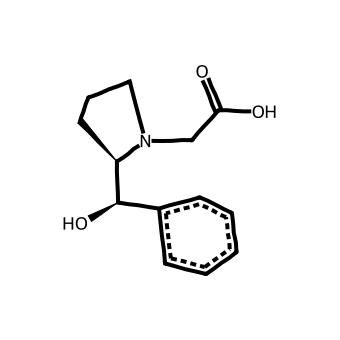 O=C(O)CN1CCC[C@@H]1[C@H](O)c1ccccc1